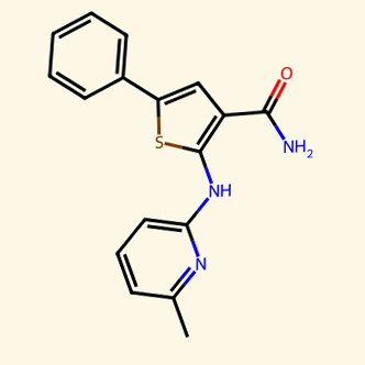 Cc1cccc(Nc2sc(-c3ccccc3)cc2C(N)=O)n1